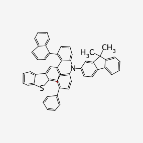 CC1(C)c2ccccc2-c2ccc(N(c3ccc(-c4ccccc4)cc3)c3cccc(-c4cccc5ccccc45)c3-c3ccc4sc5ccccc5c4c3)cc21